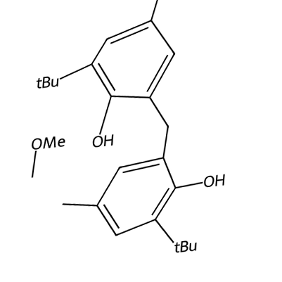 COC.Cc1cc(Cc2cc(C)cc(C(C)(C)C)c2O)c(O)c(C(C)(C)C)c1